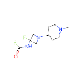 CN1CCC(N2CC(F)(NC(=O)F)C2)CC1